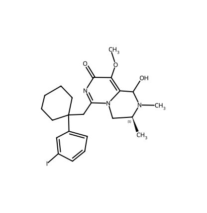 COc1c2n(c(CC3(c4cccc(I)c4)CCCCC3)nc1=O)C[C@H](C)N(C)C2O